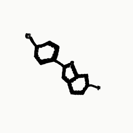 Fc1ccc2cc(-c3ccc(Cl)cc3)oc2c1